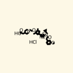 COc1cccc(CC(=O)N(CC2CC2)c2nnc(-c3cc(C)c(OCCN4CCC(CC(=O)O)CC4)c(C)c3)s2)c1.Cl